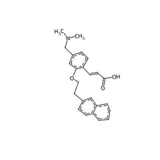 CN(C)Cc1ccc(/C=C/C(=O)O)c(OCCc2ccc3ccccc3c2)c1